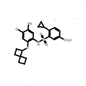 N#Cc1cc(NS(=O)(=O)c2cc(C(=O)O)ccc2C2CC2)c(OC2CCC23CCC3)cc1Cl